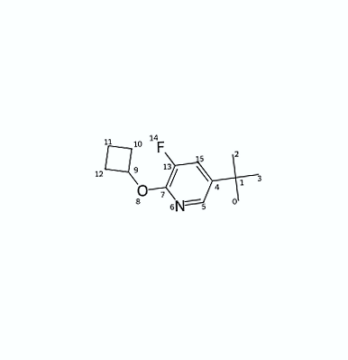 CC(C)(C)c1cnc(OC2CCC2)c(F)c1